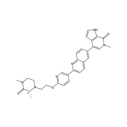 C[C@@H]1C(=O)N(C)CCN1CCOc1ccc(-c2ccc3cc(-c4cn(C)c(=O)c5[nH]ccc45)ccc3n2)cn1